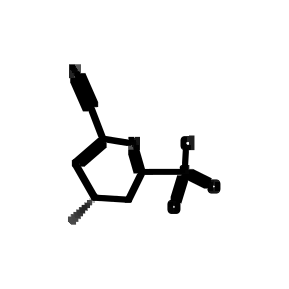 C[C@@H]1C=C(C#N)N=C(S(=O)(=O)Cl)C1